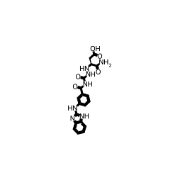 NC(=O)[C@H](CC(=O)O)NNC(=O)NC(=O)c1cccc(Nc2nc3ccccc3[nH]2)c1